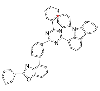 c1ccc(-c2nc(-c3cccc(-c4cccc5oc(-c6ccccc6)nc45)c3)nc(-c3cccc4c5ccccc5n(-c5ccccc5)c34)n2)cc1